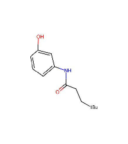 CC(C)(C)CCC(=O)Nc1cccc(O)c1